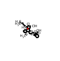 COc1cccc(OC)c1-c1ccc(C(=O)NC2(OC(=O)O)C3CCCC2CCC3)nc1-c1ccc(Cl)c(OCCCN(C)C)c1.Cl